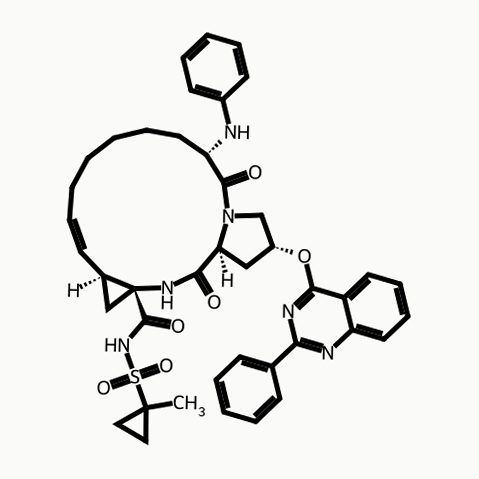 CC1(S(=O)(=O)NC(=O)[C@@]23C[C@H]2/C=C\CCCCC[C@H](Nc2ccccc2)C(=O)N2C[C@H](Oc4nc(-c5ccccc5)nc5ccccc45)C[C@H]2C(=O)N3)CC1